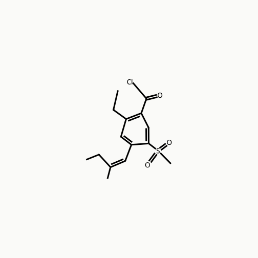 CCC(C)=Cc1cc(CC)c(C(=O)Cl)cc1S(C)(=O)=O